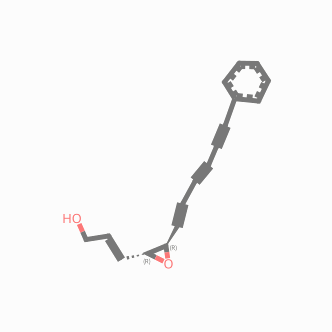 OCC=C[C@H]1O[C@@H]1C#CC#CC#Cc1ccccc1